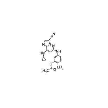 CC(=O)Oc1cc(Nc2cc(NC3CC3)c3ncc(C#N)n3n2)ccc1C